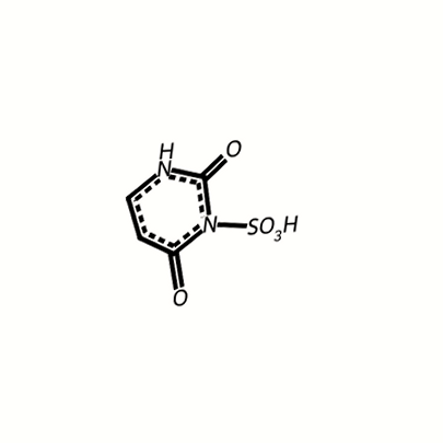 O=c1cc[nH]c(=O)n1S(=O)(=O)O